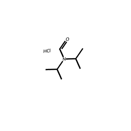 CC(C)N(C=O)C(C)C.Cl